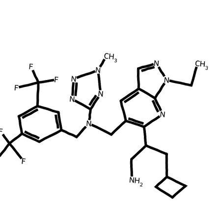 CCn1ncc2cc(CN(Cc3cc(C(F)(F)F)cc(C(F)(F)F)c3)c3nnn(C)n3)c(C(CN)CC3CCC3)nc21